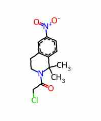 CC1(C)c2ccc([N+](=O)[O-])cc2CCN1C(=O)CCl